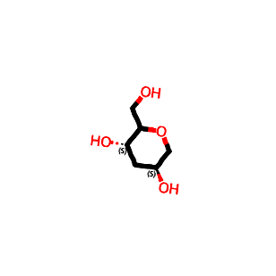 OCC1OC[C@@H](O)C[C@@H]1O